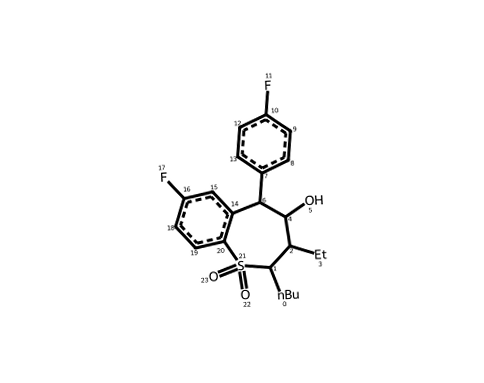 CCCCC1C(CC)C(O)C(c2ccc(F)cc2)c2cc(F)ccc2S1(=O)=O